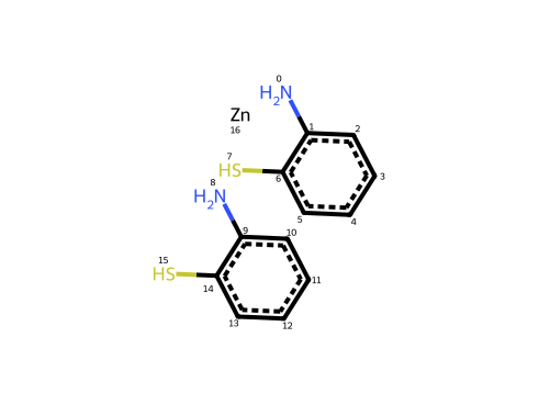 Nc1ccccc1S.Nc1ccccc1S.[Zn]